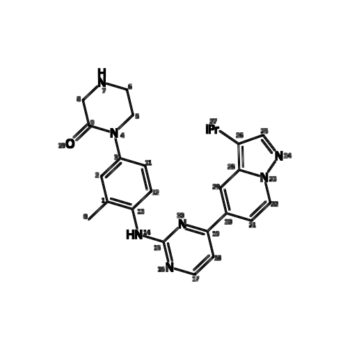 Cc1cc(N2CCNCC2=O)ccc1Nc1nccc(-c2ccn3ncc(C(C)C)c3c2)n1